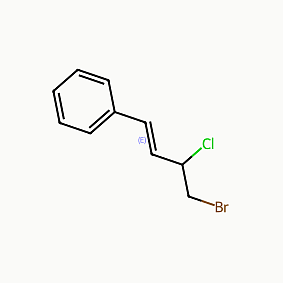 ClC(/C=C/c1ccccc1)CBr